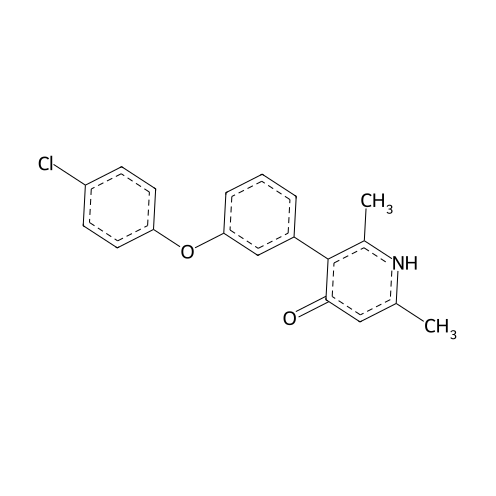 Cc1cc(=O)c(-c2cccc(Oc3ccc(Cl)cc3)c2)c(C)[nH]1